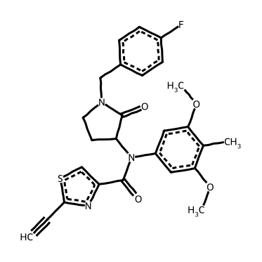 C#Cc1nc(C(=O)N(c2cc(OC)c(C)c(OC)c2)C2CCN(Cc3ccc(F)cc3)C2=O)cs1